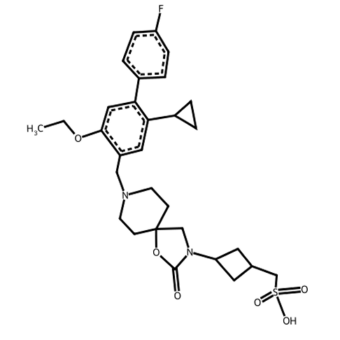 CCOc1cc(-c2ccc(F)cc2)c(C2CC2)cc1CN1CCC2(CC1)CN(C1CC(CS(=O)(=O)O)C1)C(=O)O2